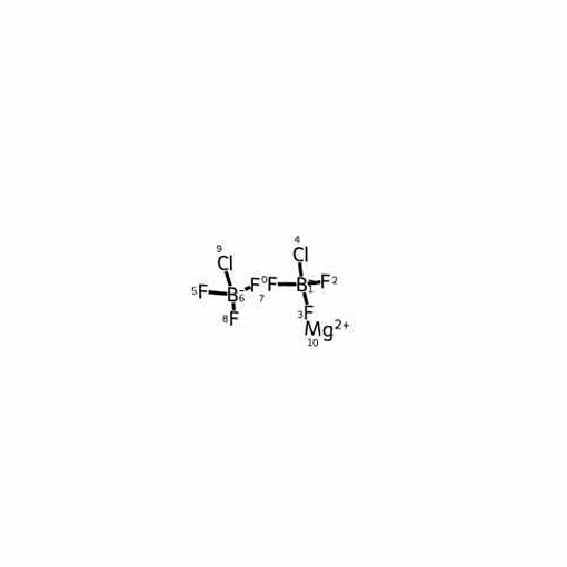 F[B-](F)(F)Cl.F[B-](F)(F)Cl.[Mg+2]